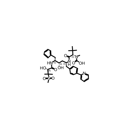 CN(C(=O)O)[C@H](C(=O)N[C@@H](Cc1ccc(-c2ccccn2)cc1)C[C@H](O)[C@H](Cc1ccccc1)NC(=O)[C@@H](O)C(C)(C)S(C)(=O)=O)C(C)(C)C